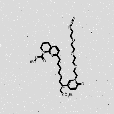 CCOC(=O)C[C@@H](CCCCCCc1ccc2c(n1)N(C(=O)OC(C)(C)C)CCC2)c1ccc(=O)n(CCOCCOCCOCCN=[N+]=[N-])c1